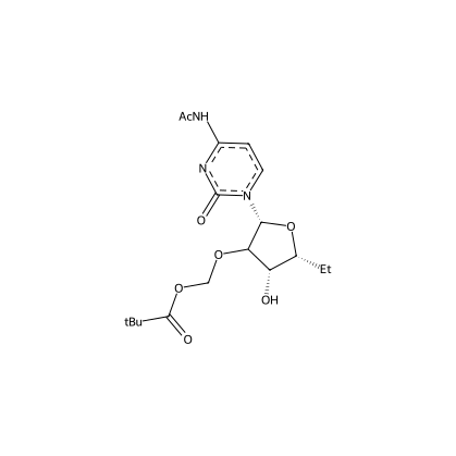 CC[C@H]1O[C@@H](n2ccc(NC(C)=O)nc2=O)C(OCOC(=O)C(C)(C)C)[C@H]1O